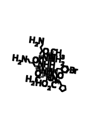 C=CC[C@H](NC(=O)[C@H](CCCCN)NC(=O)[C@H](CCCCN)NC(=O)[C@H](C)N)C(=O)N[C@@H](Cc1ccc(Br)cc1)C(=O)N[C@@H](CC1CCCC1)C(=O)O